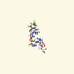 CC(C)CC(=O)Nc1cnn(C)c1-c1cc(OC2CN(C(=O)N3N=CC[C@H]3c3cc(F)cc(F)c3)C2)c(F)cn1